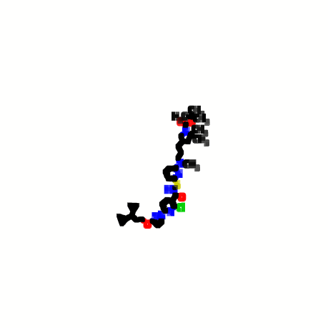 CN(CCCC1CN(C(=O)OC(C)(C)C)C(C)(C)C1)c1cccc(SNC(=O)c2ccc(-n3ccc(OCCC(C4CC4)C4CC4)n3)nc2Cl)n1